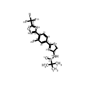 CC(C)(C)[S+]([O-])NC1CSC(c2ccc(-c3noc(C(F)(F)F)n3)c(F)c2)=N1